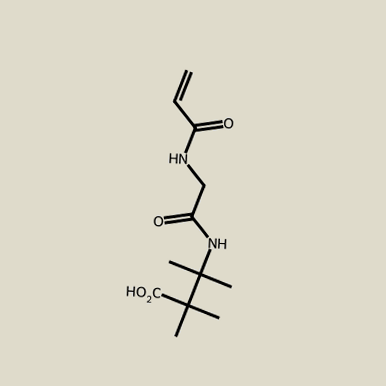 C=CC(=O)NCC(=O)NC(C)(C)C(C)(C)C(=O)O